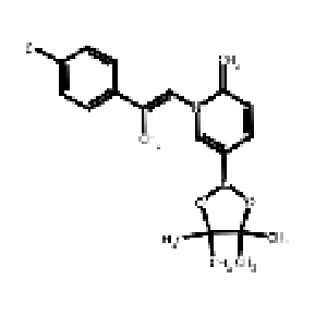 C=C1C=CC(B2OC(C)(C)C(C)(C)O2)=CN1/C=C(\C)c1ccc(Cl)cc1